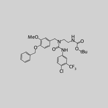 COc1cc(CN(CCNC(=O)OC(C)(C)C)C(=O)Nc2ccc(Cl)c(C(F)(F)F)c2)ccc1OCc1ccccc1